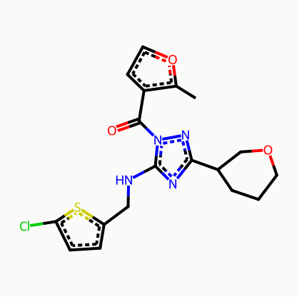 Cc1occc1C(=O)n1nc(C2CCCOC2)nc1NCc1ccc(Cl)s1